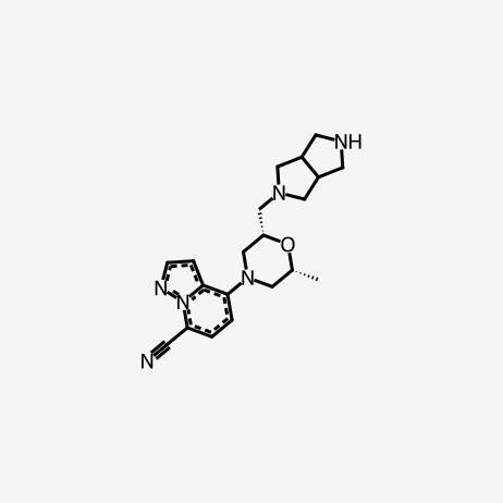 C[C@@H]1CN(c2ccc(C#N)n3nccc23)C[C@H](CN2CC3CNCC3C2)O1